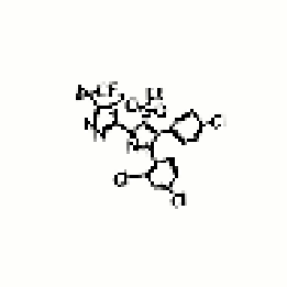 CCS(=O)(=O)c1c(-c2nnc(C3(C(F)(F)F)CC3)s2)nn(-c2ccc(Cl)cc2Cl)c1-c1ccc(Cl)cc1